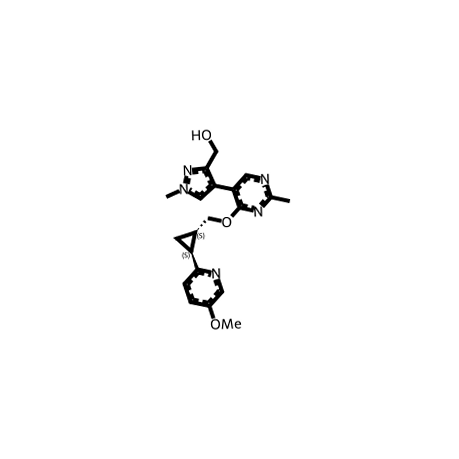 COc1ccc([C@H]2C[C@@H]2COc2nc(C)ncc2-c2cn(C)nc2CO)nc1